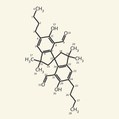 CCCCc1cc2c(c(C=O)c1O)C1(CC2(C)C)CC(C)(C)c2cc(CCCC)c(O)c(C=O)c21